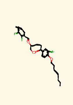 CCCCCCCOc1ccc(C2CCC(OCc3ccc(C)c(F)c3F)CO2)cc1F